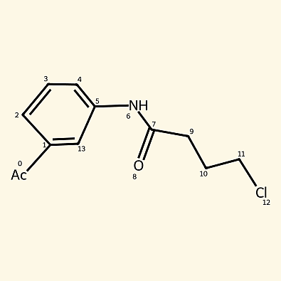 CC(=O)c1cccc(NC(=O)CCCCl)c1